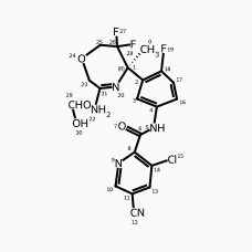 C[C@]1(c2cc(NC(=O)c3ncc(C#N)cc3Cl)ccc2F)N=C(N)COCC1(F)F.O=CO